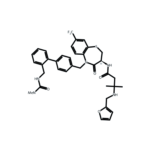 CNC(=O)NCc1ccccc1-c1ccc(CN2C(=O)[C@H](NC(=O)CC(C)(C)NCc3ccco3)CSc3cc(C(F)(F)F)ccc32)cc1